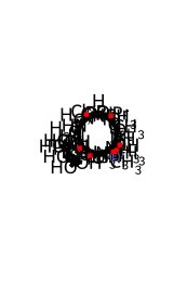 C/C=C/C[C@@H](C)[C@@H](O)[C@H]1C(=O)N[C@@H](CC)C(=O)N(C)CC(=O)N(C)[C@@H](CC(C)C)C(=O)N[C@@H](C(C)C)C(=O)N(C)[C@@H](CC(C)C)C(=O)N[C@@H](C)C(=O)N[C@H](C)C(=O)N(C)[C@@H](CC(C)C)C(=O)N(C)[C@@H](CC(C)C)C(=O)N(C)[C@@H](C(C)C)C(=O)N1C.Oc1cc(O)c2cc(O)c(-c3cc(O)c(O)c(O)c3)[o+]c2c1.[Cl-]